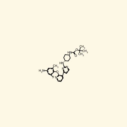 Cc1cc(N)cc(F)c1Oc1ncccc1-c1ccnc(N[C@H]2CC[C@H](NC(=O)OC(C)(C)C)CC2)n1